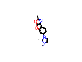 Cc1nc2c(o1)oc1cc(N3C=CN(C)[C@@H]3C)ccc12